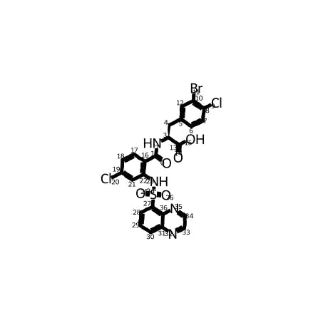 O=C(N[C@@H](Cc1ccc(Cl)c(Br)c1)C(=O)O)c1ccc(Cl)cc1NS(=O)(=O)c1cccc2nccnc12